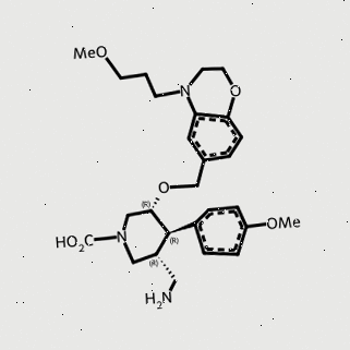 COCCCN1CCOc2ccc(CO[C@H]3CN(C(=O)O)C[C@@H](CN)[C@@H]3c3ccc(OC)cc3)cc21